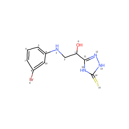 OC(CNc1cccc(Br)c1)c1n[nH]c(=S)[nH]1